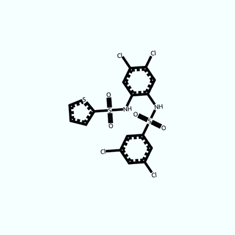 O=S(=O)(Nc1cc(Cl)c(Cl)cc1NS(=O)(=O)c1cccs1)c1cc(Cl)cc(Cl)c1